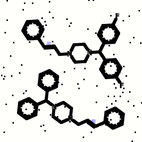 C(=C\c1ccccc1)/CN1CCN(C(c2ccccc2)c2ccccc2)CC1.Fc1ccc(C(c2ccc(F)cc2)N2CCN(C/C=C/c3ccccc3)CC2)cc1